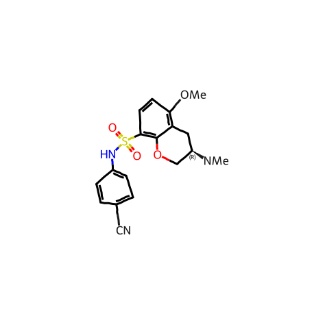 CN[C@H]1COc2c(S(=O)(=O)Nc3ccc(C#N)cc3)ccc(OC)c2C1